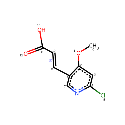 COc1cc(Cl)ncc1/C=C/C(=O)O